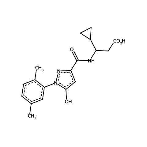 Cc1ccc(C)c(-n2nc(C(=O)NC(CC(=O)O)C3CC3)cc2O)c1